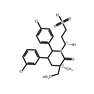 CC[C@@H](CCS(=O)(=O)CC)N1C(=O)[C@@](C)(CC(=O)O)CC(c2cccc(Cl)c2)C1c1ccc(Cl)cc1